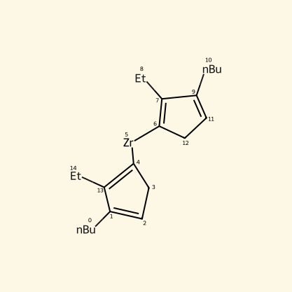 CCCCC1=CC[C]([Zr][C]2=C(CC)C(CCCC)=CC2)=C1CC